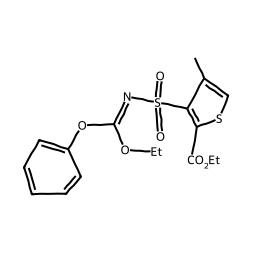 CCOC(=O)c1scc(C)c1S(=O)(=O)N=C(OCC)Oc1ccccc1